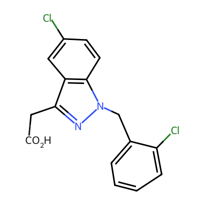 O=C(O)Cc1nn(Cc2ccccc2Cl)c2ccc(Cl)cc12